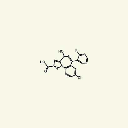 O=C(O)c1cc2n(n1)-c1ccc(Cl)cc1C(c1ccccc1F)=NC2O